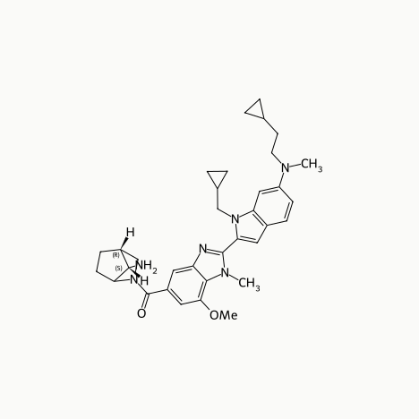 COc1cc(C(=O)N2C[C@H]3CCC2[C@H]3N)cc2nc(-c3cc4ccc(N(C)CCC5CC5)cc4n3CC3CC3)n(C)c12